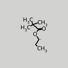 CC[CH]OC(=O)C(C)(C)C